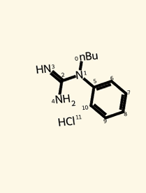 CCCCN(C(=N)N)c1ccccc1.Cl